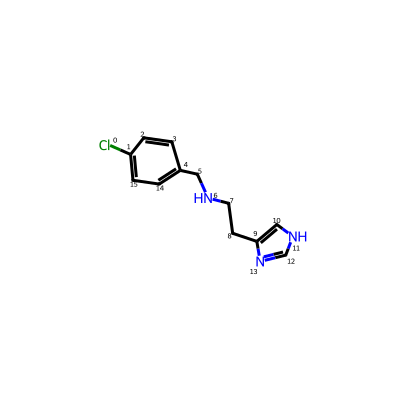 Clc1ccc(CNCCc2c[nH]cn2)cc1